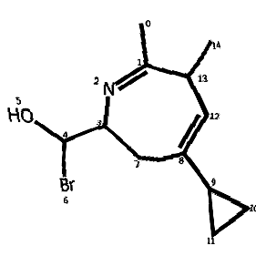 CC1=NC(C(O)Br)CC(C2CC2)=CC1C